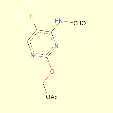 CC(=O)OCOc1ncc(F)c(NC=O)n1